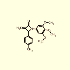 C=C1C(=O)N(c2cc(OC)c(OC)c(OC)c2)C1c1ccc(C)cc1